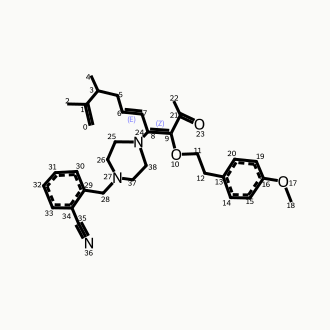 C=C(C)C(C)C/C=C/C(=C(/OCCc1ccc(OC)cc1)C(C)=O)N1CCN(Cc2ccccc2C#N)CC1